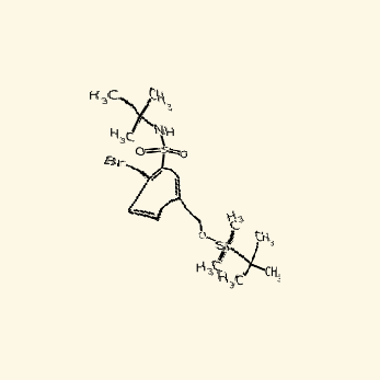 CC(C)(C)NS(=O)(=O)c1cc(CO[Si](C)(C)C(C)(C)C)ccc1Br